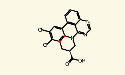 O=C(O)[C@H]1CCCN(c2ncnc3cccc(-c4ccc(Cl)c(Cl)c4)c23)C1